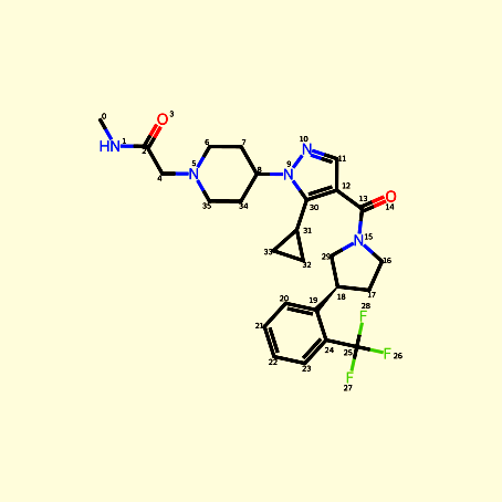 CNC(=O)CN1CCC(n2ncc(C(=O)N3CC[C@@H](c4ccccc4C(F)(F)F)C3)c2C2CC2)CC1